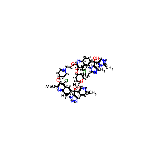 COc1nc2ccc(C(O)(c3ccc(C)nc3C)c3cnnn3C)cc2c(Cl)c1OC1CCN(CCOc2nc3ccc(C(O)(c4cnc(C)n4C)c4cnc(C)n4C)cc3c(Cl)c2OC2CCOCC2)CC1